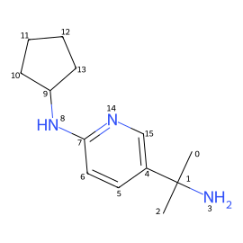 CC(C)(N)c1ccc(NC2CCCC2)nc1